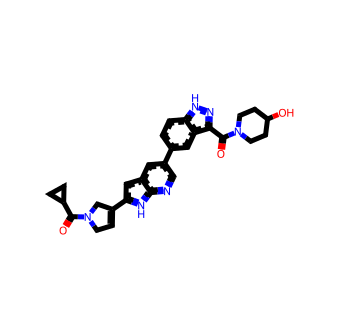 O=C(c1n[nH]c2ccc(-c3cnc4[nH]c(C5=CCN(C(=O)C6CC6)C5)cc4c3)cc12)N1CCC(O)CC1